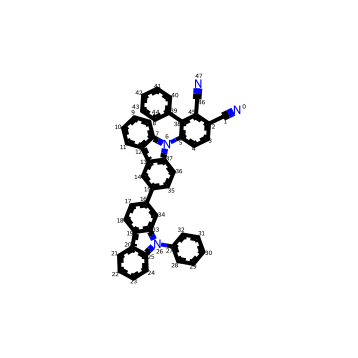 N#Cc1ccc(-n2c3ccccc3c3cc(-c4ccc5c6ccccc6n(-c6ccccc6)c5c4)ccc32)c(-c2ccccc2)c1C#N